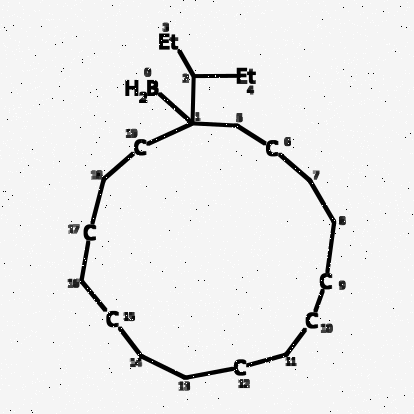 BC1(C(CC)CC)CCCCCCCCCCCCCCC1